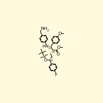 COC(=O)[C@H](CC[C@H](O[Si](C)(C)C(C)(C)C)c1ccc(F)cc1)[C@H](Nc1ccc(CN)cc1)c1ccc(OC)cc1